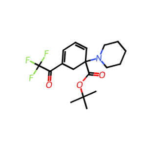 CC(C)(C)OC(=O)C1(N2CCCCC2)C=CC=C(C(=O)C(F)(F)F)C1